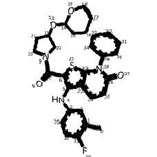 Cc1cc(Nc2c(C(=O)N3CCC(OC4CCCCO4)C3)sc3c2ccc(=O)n3-c2ccccc2)ccc1F